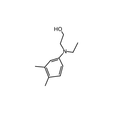 CCN(CCO)c1ccc(C)c(C)c1